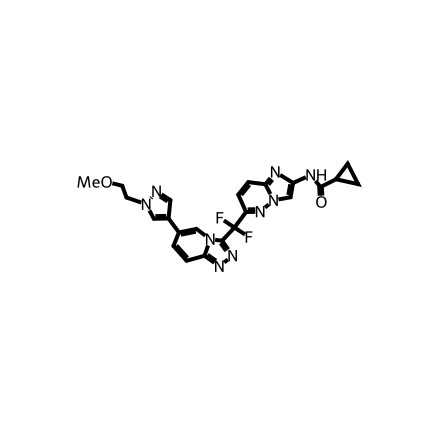 COCCn1cc(-c2ccc3nnc(C(F)(F)c4ccc5nc(NC(=O)C6CC6)cn5n4)n3c2)cn1